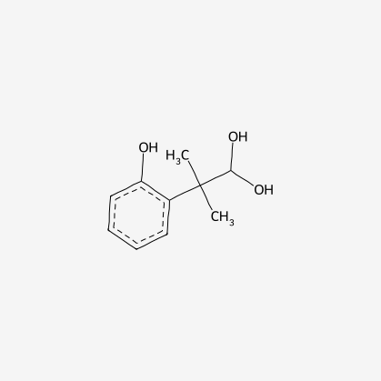 CC(C)(c1ccccc1O)C(O)O